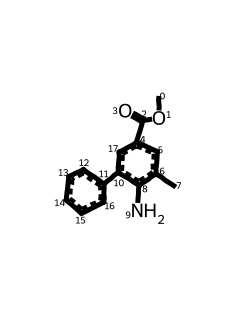 COC(=O)c1cc(C)c(N)c(-c2ccccc2)c1